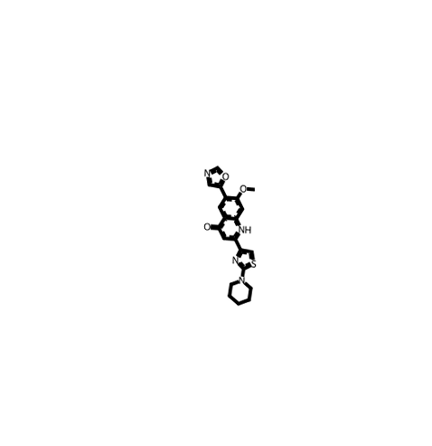 COc1cc2[nH]c(-c3csc(N4CCCCC4)n3)cc(=O)c2cc1-c1cnco1